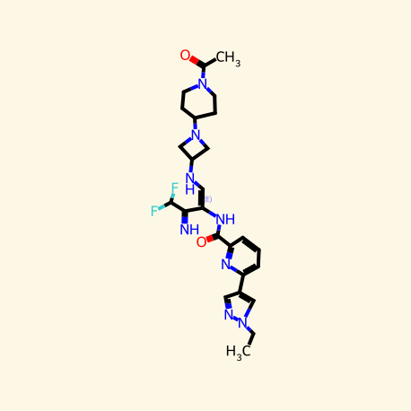 CCn1cc(-c2cccc(C(=O)N/C(=C/NC3CN(C4CCN(C(C)=O)CC4)C3)C(=N)C(F)F)n2)cn1